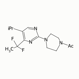 CC(=O)N1CCN(c2ncc(C(C)C)c(C(C)(F)F)n2)CC1